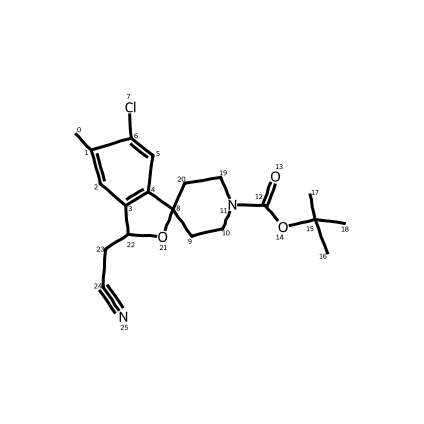 Cc1cc2c(cc1Cl)C1(CCN(C(=O)OC(C)(C)C)CC1)OC2CC#N